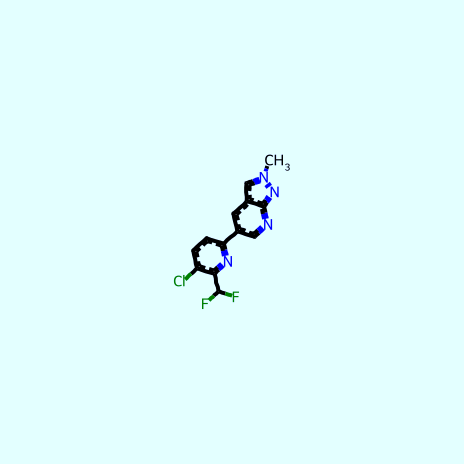 Cn1cc2cc(-c3ccc(Cl)c(C(F)F)n3)cnc2n1